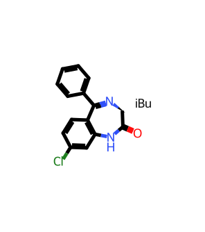 CC[C@H](C)[C@@H]1N=C(c2ccccc2)c2ccc(Cl)cc2NC1=O